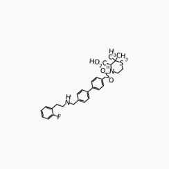 CC1(C)SCCN(S(=O)(=O)c2ccc(-c3ccc(CNCCc4ccccc4F)cc3)cc2)[C@H]1C(=O)O